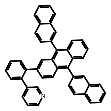 c1cncc(-c2ccccc2-c2ccc3c(-c4ccc5ccccc5c4)c4ccccc4c(-c4ccc5ccccc5c4)c3c2)c1